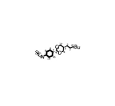 CCC(C)CC[C@H]1CO[C@H](c2ccc(N=C=S)cc2)OC1